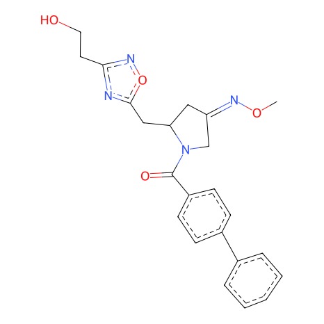 CON=C1CC(Cc2nc(CCO)no2)N(C(=O)c2ccc(-c3ccccc3)cc2)C1